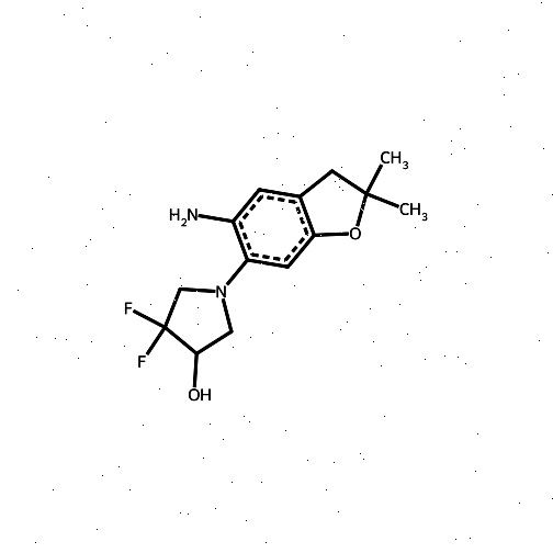 CC1(C)Cc2cc(N)c(N3CC(O)C(F)(F)C3)cc2O1